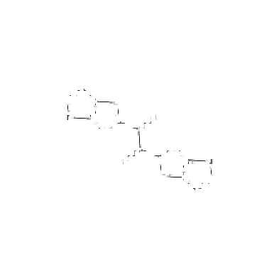 O=C(C(=O)c1cc2[nH]ccc2s1)c1cc2[nH]ccc2s1